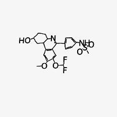 COc1cc2c(cc1OC(F)F)C(c1ccc(NS(C)(=O)=O)cc1)=NC1CCC(O)CC21